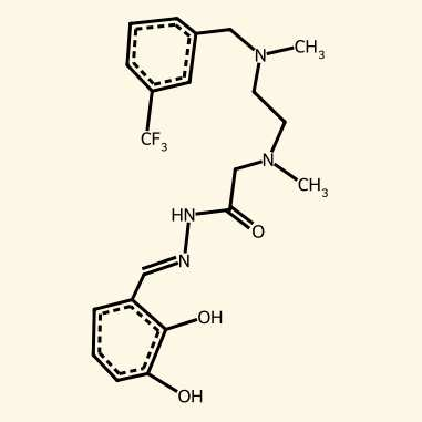 CN(CCN(C)Cc1cccc(C(F)(F)F)c1)CC(=O)NN=Cc1cccc(O)c1O